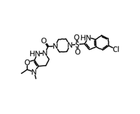 CC1OC2=C(CCN(C(=O)N3CCN(S(=O)(=O)c4cc5cc(Cl)ccc5[nH]4)CC3)N2)N1C